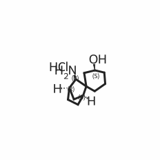 Cl.N[C@@H]1[C@@H]2CC[C@@H](C2)C12CCC[C@H](O)C2